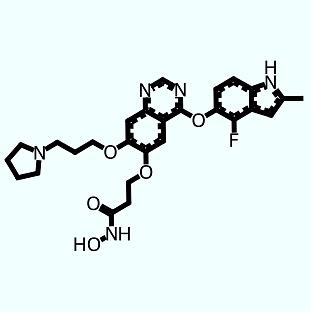 Cc1cc2c(F)c(Oc3ncnc4cc(OCCCN5CCCC5)c(OCCC(=O)NO)cc34)ccc2[nH]1